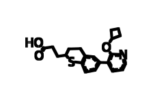 O=C(O)CCC1CCc2cc(-c3cccnc3OC3CCC3)ccc2S1